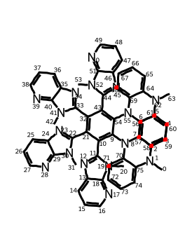 CN1c2ccccc2N(c2c(-c3nc4cccnc4n3C)c(-c3nc4cccnc4n3C)c(-c3nc4cccnc4n3C)c(-c3nc4cccnc4n3C)c2N2c3ccccc3N(C)c3ccccc32)c2ccccc21